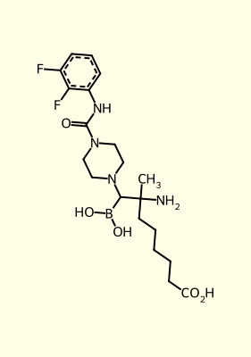 CC(N)(CCCCCC(=O)O)C(B(O)O)N1CCN(C(=O)Nc2cccc(F)c2F)CC1